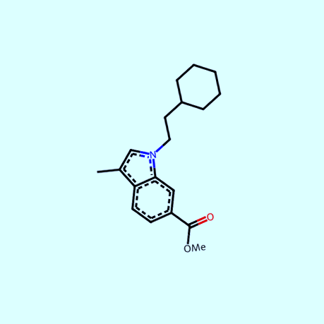 COC(=O)c1ccc2c(C)cn(CCC3CCCCC3)c2c1